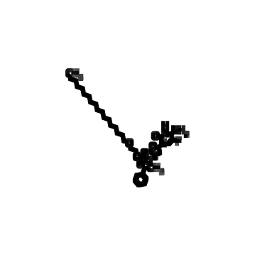 CCCCCCCCCCCCCCCCCCOCCOP(=O)(OC(C)c1ccccc1)O[C@@H]1O[C@@H](N2C=C(F)C(N)NC2=O)CS1